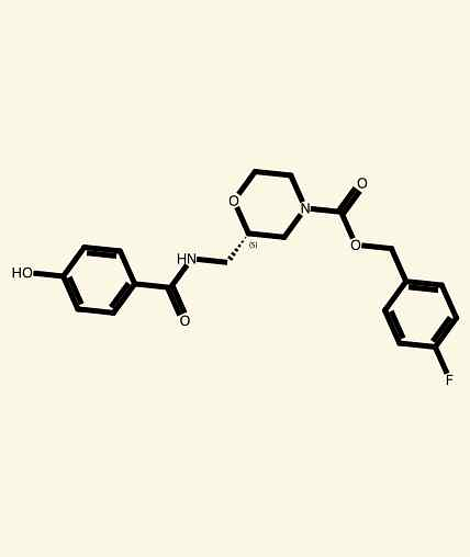 O=C(NC[C@H]1CN(C(=O)OCc2ccc(F)cc2)CCO1)c1ccc(O)cc1